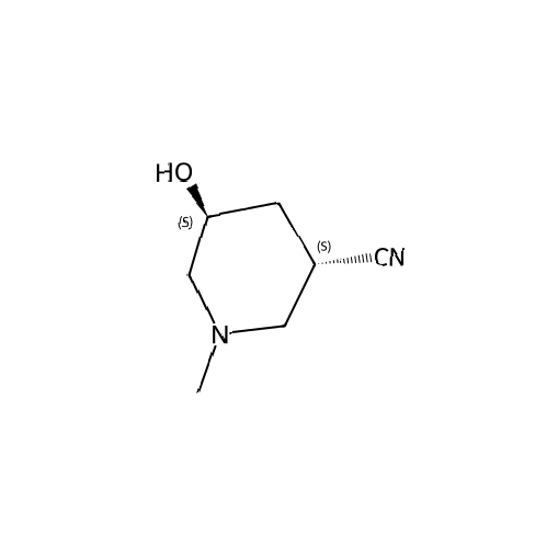 CN1C[C@@H](O)C[C@H](C#N)C1